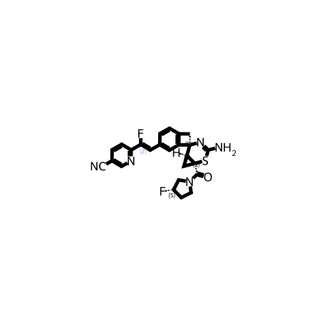 N#Cc1ccc(/C(F)=C/c2ccc3c(c2)[C@@]2(C3)N=C(N)S[C@@]3(C(=O)N4CC[C@H](F)C4)C[C@H]32)nc1